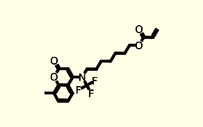 C=CC(=O)OCCCCCCCN(c1cc(=O)oc2c(C)cccc12)C(F)(F)F